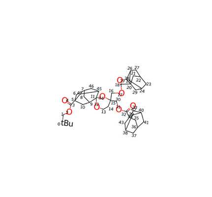 CC(C)(C)COC(=O)C12CC3CC(C1)C1(OCCC(COC(=O)C45CC6CC(CC(C6)C4)C5)(COC(=O)C45CC6CC(CC(C6)C4)C5)O1)C(C3)C2